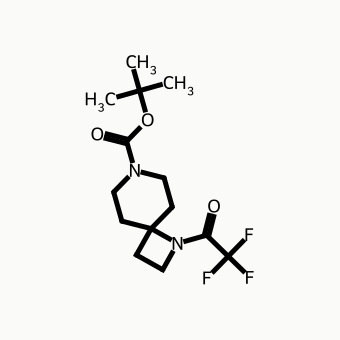 CC(C)(C)OC(=O)N1CCC2(CC1)CCN2C(=O)C(F)(F)F